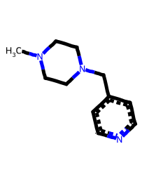 CN1CCN(Cc2c[c]ncc2)CC1